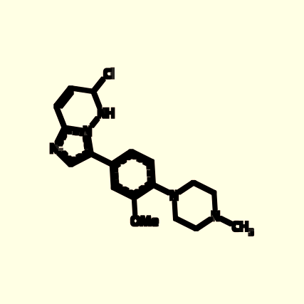 COc1cc(-c2cnc3n2NC(Cl)C=C3)ccc1N1CCN(C)CC1